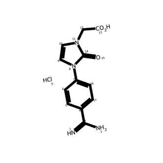 Cl.N=C(N)c1ccc(-n2ccn(CC(=O)O)c2=O)cc1